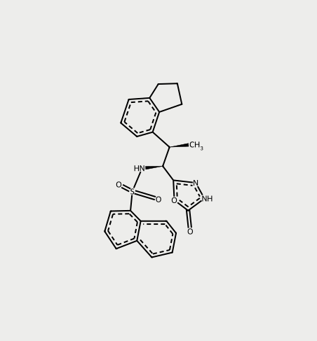 C[C@H](c1cccc2c1CCC2)[C@H](NS(=O)(=O)c1cccc2ccccc12)c1n[nH]c(=O)o1